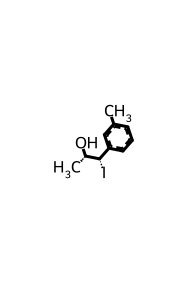 Cc1cccc([C@H](I)[C@H](C)O)c1